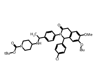 CCC(C)Oc1cc2c(cc1OC)CC(=O)N(c1ccc(C(C)NC3CCN(C(=O)OC(C)(C)C)CC3)cc1)C2c1ccc(Cl)cc1